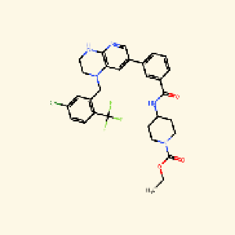 CCOC(=O)N1CCC(NC(=O)c2cccc(-c3cnc4c(c3)N(Cc3cc(Cl)ccc3C(F)(F)F)CCN4)c2)CC1